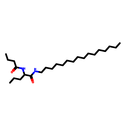 CCCCCCCCCCCCCCCCNC(=O)C(CCC)NC(=O)CCC